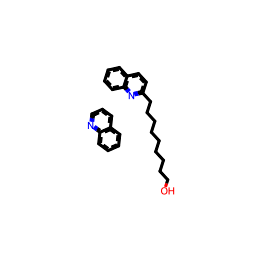 OCCCCCCCCCc1ccc2ccccc2n1.c1ccc2ncccc2c1